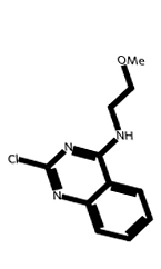 COCCNc1nc(Cl)nc2ccccc12